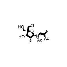 CC(=O)/C(F)=C\N(C(C)=O)[C@@H]1O[C@@](CO)(CCl)[C@@H](O)[C@H]1F